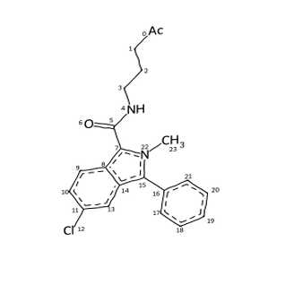 CC(=O)CCCNC(=O)c1c2ccc(Cl)cc2c(-c2ccccc2)n1C